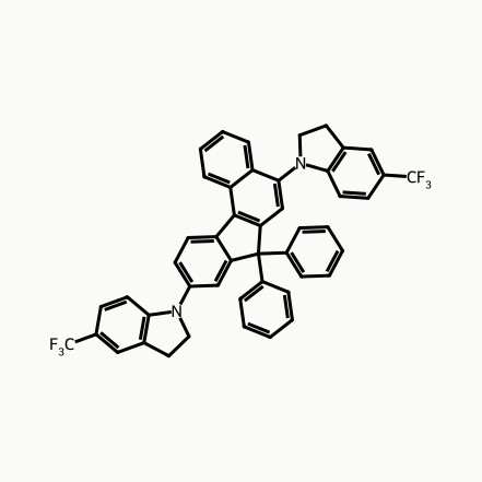 FC(F)(F)c1ccc2c(c1)CCN2c1ccc2c(c1)C(c1ccccc1)(c1ccccc1)c1cc(N3CCc4cc(C(F)(F)F)ccc43)c3ccccc3c1-2